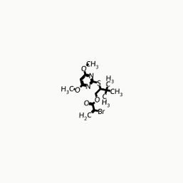 C=C(Br)C(=O)OCC(Sc1nc(OC)cc(OC)n1)C(C)(C)C